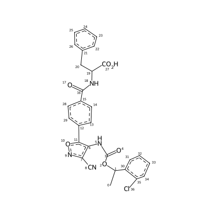 CC(OC(=O)Nc1c(C#N)noc1-c1ccc(C(=O)NC(Cc2ccccc2)C(=O)O)cc1)c1ccccc1Cl